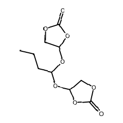 CCCC(OC1COC(=O)O1)OC1COC(=O)O1